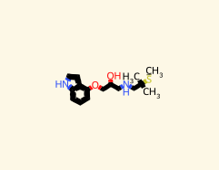 CSC(C)(C)CNCC(O)COc1cccc2[nH]ccc12